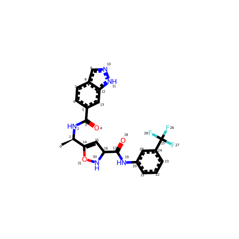 C[C@@H](NC(=O)c1ccc2cn[nH]c2c1)C1=CC(C(=O)Nc2cccc(C(F)(F)F)c2)NO1